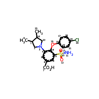 CC1CN(c2cc(C(=O)O)cc(S(N)(=O)=O)c2Oc2ccc(Cl)cc2)CC1C